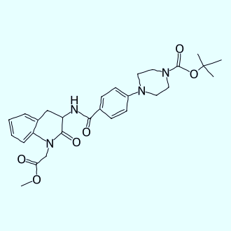 COC(=O)CN1C(=O)C(NC(=O)c2ccc(N3CCN(C(=O)OC(C)(C)C)CC3)cc2)Cc2ccccc21